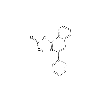 O=[PH](O)Oc1nc(-c2ccccc2)cc2ccccc12